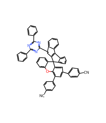 N#Cc1ccc(-c2cc(-c3ccc(C#N)cc3)c3c(c2)C2(c4ccccc4O3)c3ccccc3-c3c2cc(-c2nc(-c4ccccc4)nc(-c4ccccc4)n2)c2ccccc32)cc1